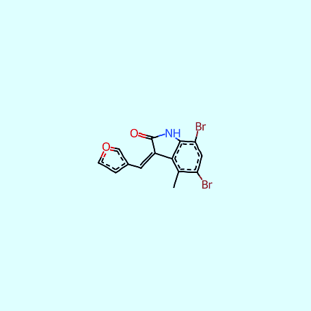 Cc1c(Br)cc(Br)c2c1C(=Cc1ccoc1)C(=O)N2